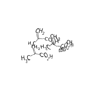 C=C(C)C(=O)O.C=C(C)C(=O)O.C=C(C)C(=O)O.CC(C)(C)C